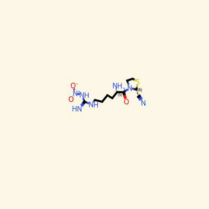 N#C[C@H]1SCCN1C(=O)[C@@H](N)CCCCNC(=N)N[N+](=O)[O-]